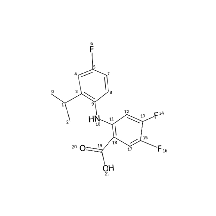 CC(C)c1cc(F)ccc1Nc1cc(F)c(F)cc1C(=O)O